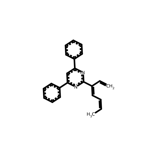 C=C/C(=C\C=C/C)c1nc(-c2ccccc2)cc(-c2ccccc2)n1